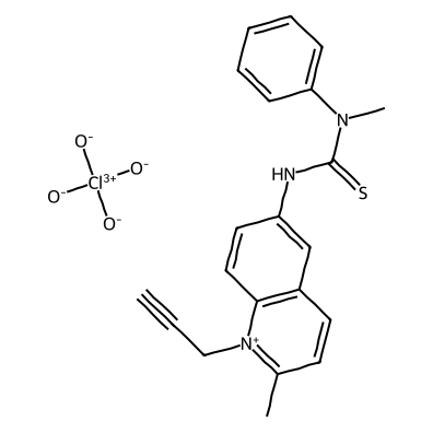 C#CC[n+]1c(C)ccc2cc(NC(=S)N(C)c3ccccc3)ccc21.[O-][Cl+3]([O-])([O-])[O-]